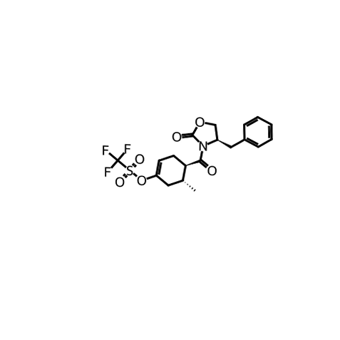 C[C@@H]1CC(OS(=O)(=O)C(F)(F)F)=CC[C@H]1C(=O)N1C(=O)OC[C@H]1Cc1ccccc1